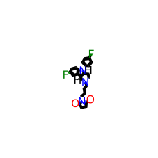 O=C1CCC(=O)N1CCCCN1CC[C@@H]2[C@@H](C1)c1cc(F)ccc1N2c1ccc(F)cc1